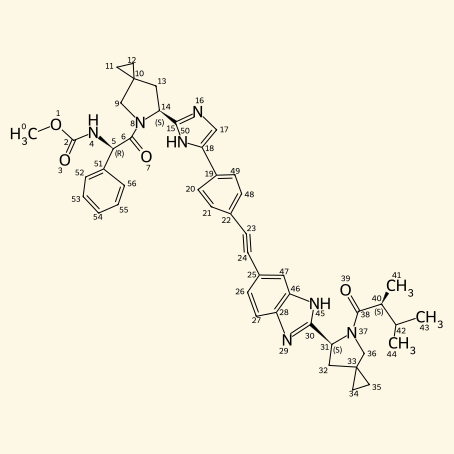 COC(=O)N[C@@H](C(=O)N1CC2(CC2)C[C@H]1c1ncc(-c2ccc(C#Cc3ccc4nc([C@@H]5CC6(CC6)CN5C(=O)[C@@H](C)C(C)C)[nH]c4c3)cc2)[nH]1)c1ccccc1